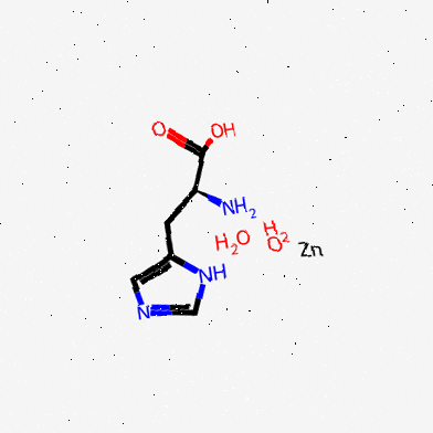 N[C@@H](Cc1cnc[nH]1)C(=O)O.O.O.[Zn]